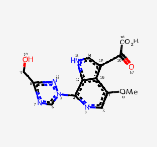 COc1cnc(-n2cnc(CO)n2)c2[nH]cc(C(=O)C(=O)O)c12